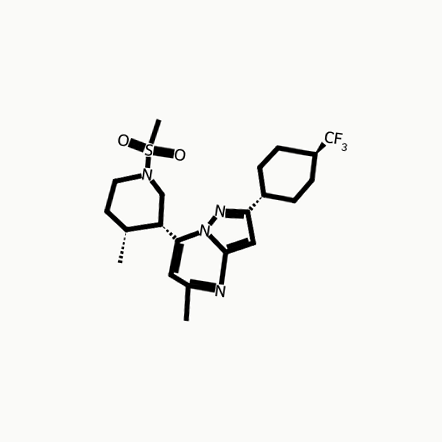 Cc1cc([C@H]2CN(S(C)(=O)=O)CC[C@H]2C)n2nc([C@H]3CC[C@H](C(F)(F)F)CC3)cc2n1